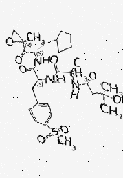 C[C@@H](NC(=O)CC(C)(C)O)C(=O)N[C@@H](Cc1ccc(S(C)(=O)=O)cc1)C(=O)N[C@@H](CC1CCCC1)C(=O)[C@@]1(C)CO1